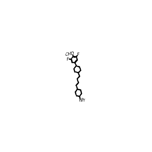 CCCC1CCC(CCCCC2CCC(c3cc(F)c(C=O)c(F)c3)CC2)CC1